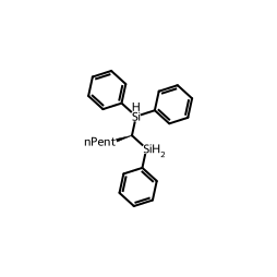 CCCCC[C@H]([SiH2]c1ccccc1)[SiH](c1ccccc1)c1ccccc1